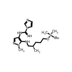 C[C@H](CCCO[Si](C)(C)C(C)(C)C)CNc1c(NC(=N)n2ccnc2)cnn1C